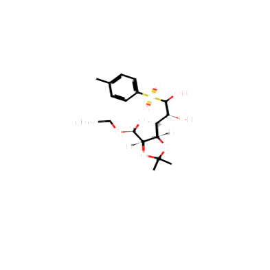 CCCCCCCCCCCO[C@H]1O[C@H]([C@H](O)C(O)S(=O)(=O)c2ccc(C)cc2)[C@@H]2OC(C)(C)O[C@H]12